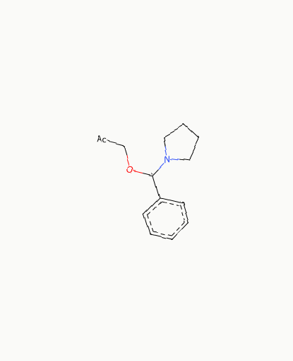 CC(=O)CO[C](c1ccccc1)N1CCCC1